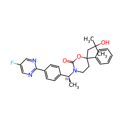 C[C@@H](c1ccc(-c2ncc(F)cn2)cc1)N1CCC(CC(C)(C)O)(c2ccccc2)OC1=O